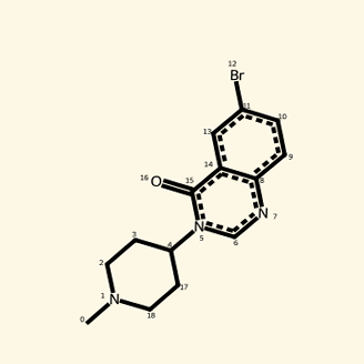 CN1CCC(n2cnc3ccc(Br)cc3c2=O)CC1